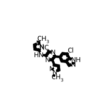 Cn1ccc(Nc2nc(-c3ccn(C)n3)c(-c3cc(Cl)c4[nH]ncc4c3)nc2C#N)n1